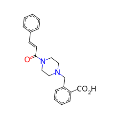 O=C(O)c1ccccc1CN1CCN(C(=O)C=Cc2ccccc2)CC1